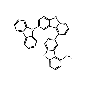 Cc1cccc2oc3ccc(-c4cccc5oc6ccc(-n7c8ccccc8c8ccccc87)cc6c45)cc3c12